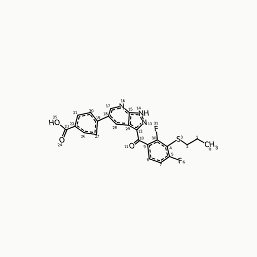 CCCSc1c(F)ccc(C(=O)c2n[nH]c3ncc(-c4ccc(C(=O)O)cc4)cc23)c1F